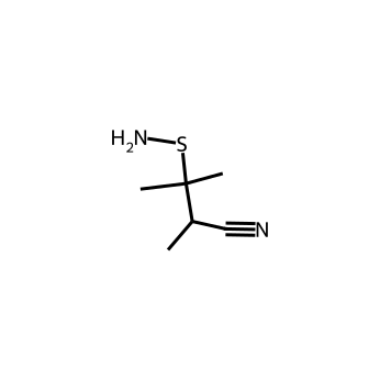 CC(C#N)C(C)(C)SN